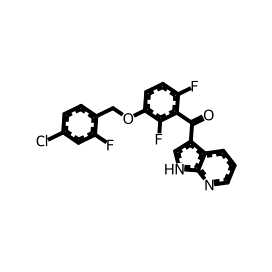 O=C(c1c(F)ccc(OCc2ccc(Cl)cc2F)c1F)c1c[nH]c2ncccc12